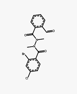 CN(C(=O)c1ccc(Cl)cc1Br)N(C)C(=O)c1ccccc1C=O